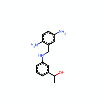 CC(O)c1cccc(NCc2cc(N)ccc2N)c1